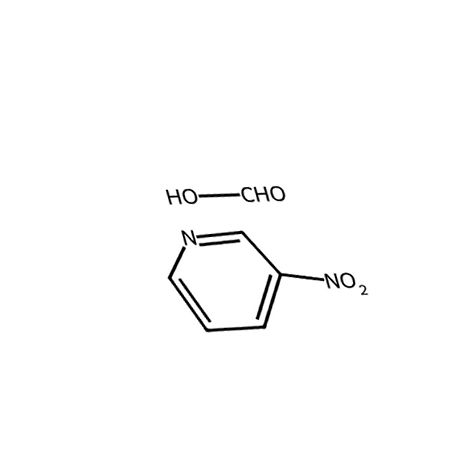 O=CO.O=[N+]([O-])c1cccnc1